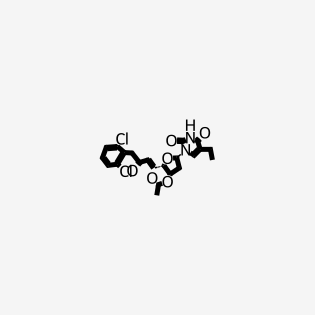 CCc1cn([C@@H]2CC(OC(C)=O)[C@H](/C=C/C(=O)Cc3c(Cl)cccc3Cl)O2)c(=O)[nH]c1=O